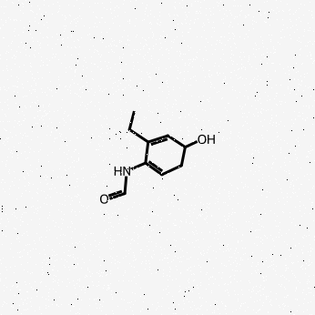 CCC1=CC(O)CC=C1NC=O